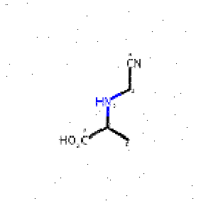 CC(NCC#N)C(=O)O